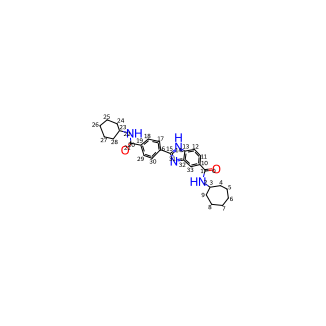 O=C(NC1CCCCCC1)c1ccc2[nH]c(-c3ccc(C(=O)NC4CCCCC4)cc3)nc2c1